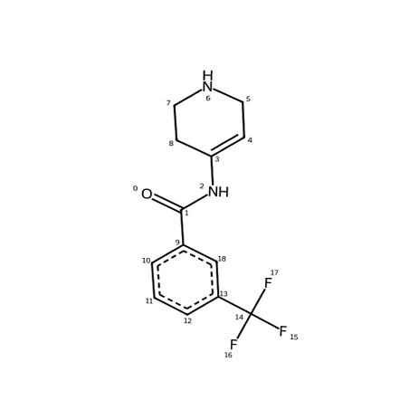 O=C(NC1=CCNCC1)c1cccc(C(F)(F)F)c1